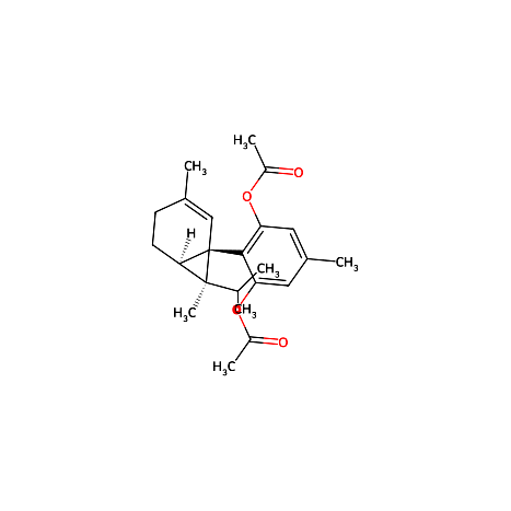 CC(=O)Oc1cc(C)cc(OC(C)=O)c1[C@]12C=C(C)CC[C@@H]1[C@]2(C)C(C)C